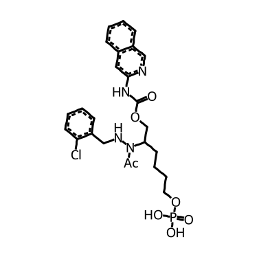 CC(=O)N(NCc1ccccc1Cl)C(CCCCOP(=O)(O)O)COC(=O)Nc1cc2ccccc2cn1